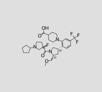 COC[C@@H]1C[C@@H](c2ccc(C(F)(F)F)cc2N2CCC(C(=O)O)CC2)CN1C(=O)[C@@]1(F)CCN(C2CCCC2)C1